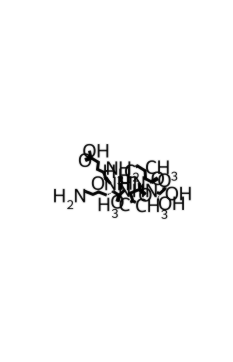 CC[C@H](C)[C@H](NC(=O)[C@@H](NC(=O)[C@H](CCCCN)NC(=O)[C@@H](N)CCC(=O)O)C(C)C)C(=O)N[C@@H](CO)C(=O)O